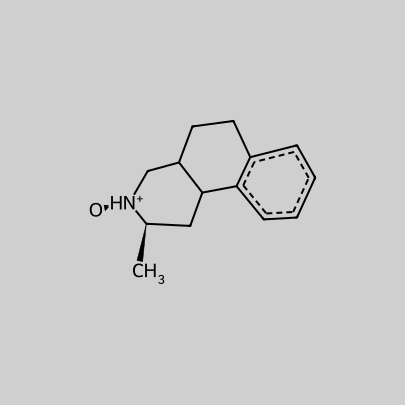 C[C@@H]1CC2c3ccccc3CCC2C[N@@H+]1[O-]